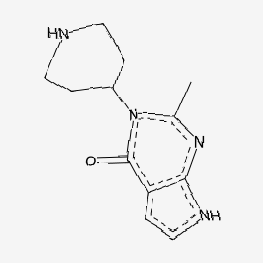 Cc1nc2[nH]ccc2c(=O)n1C1CCNCC1